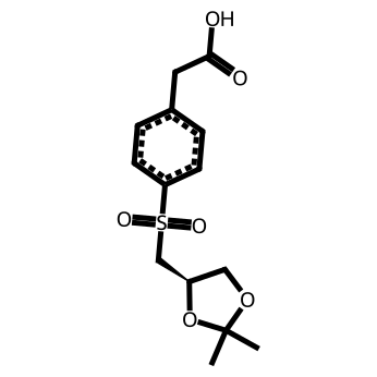 CC1(C)OC[C@H](CS(=O)(=O)c2ccc(CC(=O)O)cc2)O1